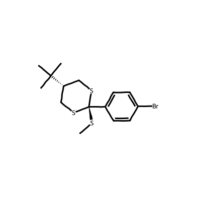 CS[C@]1(c2ccc(Br)cc2)SC[C@@H](C(C)(C)C)CS1